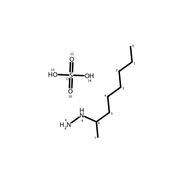 CCCCCCC(C)NN.O=S(=O)(O)O